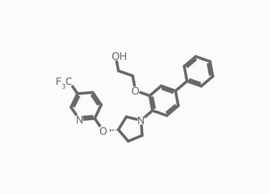 OCCOc1cc(-c2ccccc2)ccc1N1CC[C@H](Oc2ccc(C(F)(F)F)cn2)C1